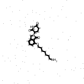 NCCCCCCCOc1cccc2c1C(=O)N(C1CCC(=O)NC1=O)C2